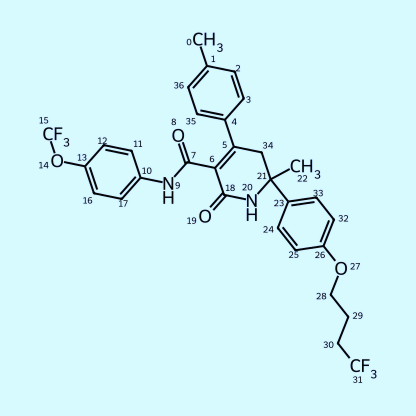 Cc1ccc(C2=C(C(=O)Nc3ccc(OC(F)(F)F)cc3)C(=O)NC(C)(c3ccc(OCCCC(F)(F)F)cc3)C2)cc1